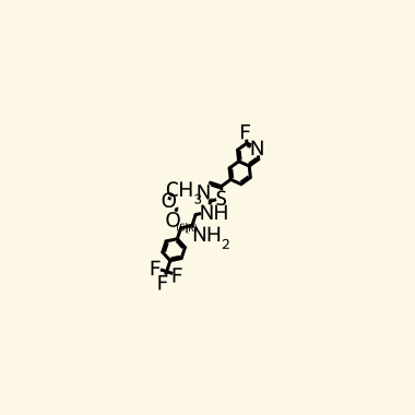 COCO[C@@H](c1ccc(C(F)(F)F)cc1)[C@H](N)CNc1ncc(-c2ccc3cnc(F)cc3c2)s1